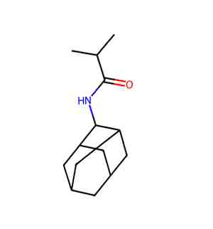 CC(C)C(=O)NC1C2CC3CC(C2)CC1C3